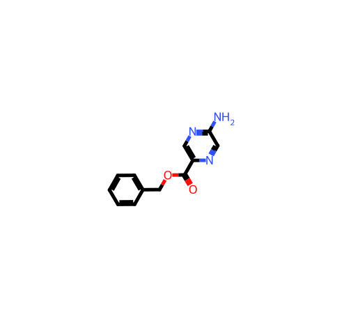 Nc1cnc(C(=O)OCc2ccccc2)cn1